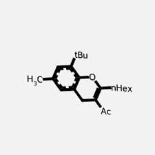 CCCCCCC1=C(C(C)=O)Cc2cc(C)cc(C(C)(C)C)c2O1